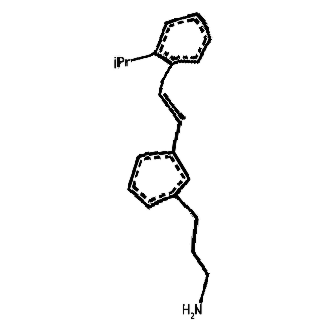 CC(C)c1ccccc1C=Cc1cccc(CCCN)c1